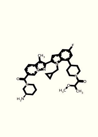 COC(C)C(=O)N1CCC(c2cc(F)cc3cc(-c4nn5cc(C(=O)N6CCC[C@@H](N)C6)ccc5c4C)n(CC4CC4)c23)CC1